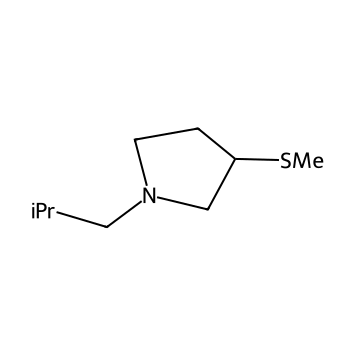 CSC1CCN(CC(C)C)C1